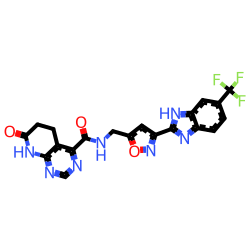 O=C1CCc2c(ncnc2C(=O)NCc2cc(-c3nc4ccc(C(F)(F)F)cc4[nH]3)no2)N1